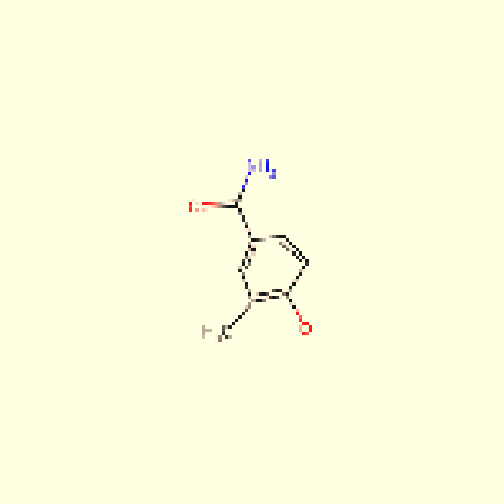 Cc1cc(C(N)=O)ccc1[O]